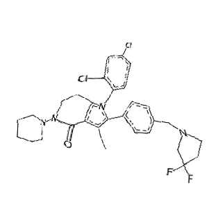 Cc1c2c(n(-c3ccc(Cl)cc3Cl)c1-c1ccc(CN3CCC(F)(F)C3)cc1)CCN(N1CCCCC1)C2=O